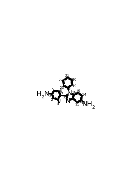 Cc1cc(N)ccc1-c1nc2cc(N)ccc2n1-c1ccccc1